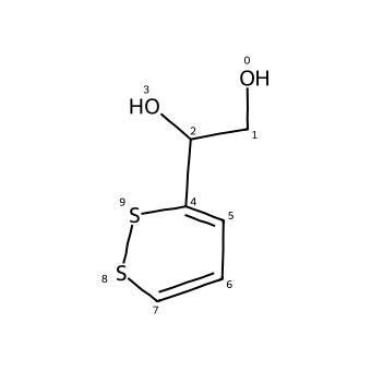 OCC(O)C1=CC=CSS1